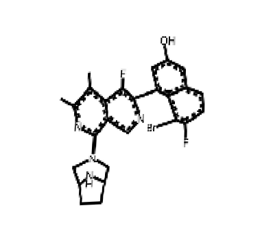 Cc1nc(N2CC3CCC(C2)N3)c2cnc(-c3cc(O)cc4ccc(F)c(Br)c34)c(F)c2c1C